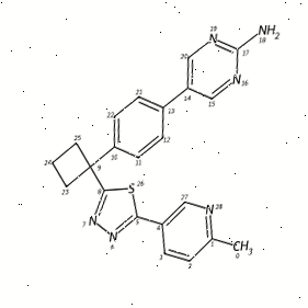 Cc1ccc(-c2nnc(C3(c4ccc(-c5cnc(N)nc5)cc4)CCC3)s2)cn1